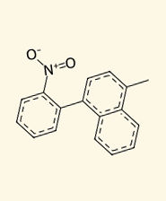 Cc1ccc(-c2ccccc2[N+](=O)[O-])c2ccccc12